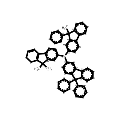 CC1(C)C2=C(C=CCC2)c2ccc(N(c3ccc4c(c3)-c3ccccc3C4(c3ccccc3)c3ccccc3)c3ccc4c(c3)C(C)(c3ccccc3)c3ccccc3-4)cc21